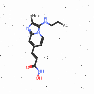 CCCCCCc1nc2cc(/C=C/C(=O)NO)ccn2c1NCCC(C)=O